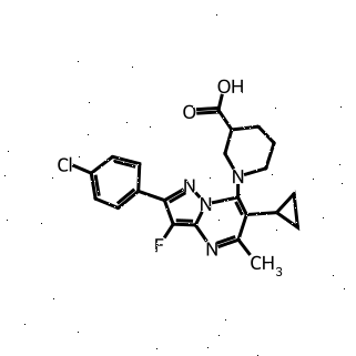 Cc1nc2c(F)c(-c3ccc(Cl)cc3)nn2c(N2CCCC(C(=O)O)C2)c1C1CC1